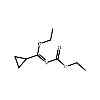 CCOC(=O)/N=C(\OCC)C1CC1